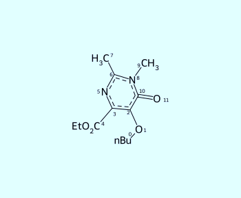 CCCCOc1c(C(=O)OCC)nc(C)n(C)c1=O